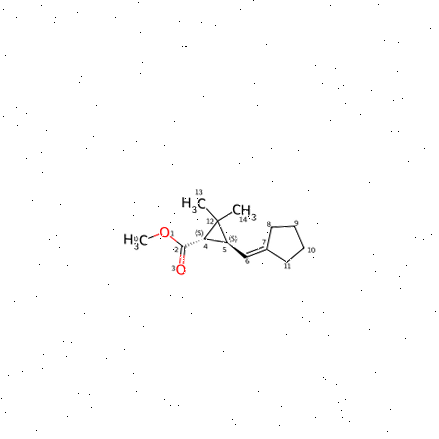 COC(=O)[C@H]1[C@H](C=C2CCCC2)C1(C)C